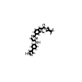 Cn1c(C(=O)N2CC(=C(F)F)C2)cc2ccc(-c3nccc(Nc4ccc(-c5cn[nH]c5)cc4)n3)cc21